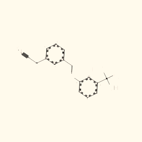 CC(C)(C)c1cccc(OCc2cccc(CC#N)c2)c1